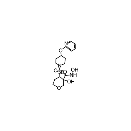 O=C(NO)C1(O)COCCC1S(=O)(=O)N1CCC(Oc2ccccn2)CC1